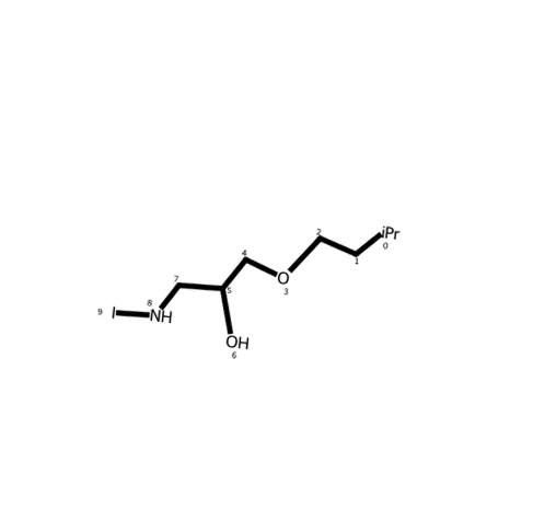 CC(C)CCOCC(O)CNI